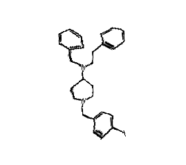 Ic1ccc(CN2CCC(N(CCc3ccccc3)Cc3ccccc3)CC2)cc1